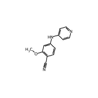 COc1cc(Nc2ccncc2)ccc1C#N